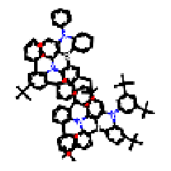 Cc1cc2c3c(c1)N(c1c(-c4ccccc4)cc(C(C)(C)C)cc1-c1ccccc1)c1ccc(CC(C)(C)c4cc5c6c(c4)N(c4c(-c7ccccc7)cccc4-c4ccccc4)c4cc(C(C)(C)C)ccc4B6c4ccc(C(C)(C)C)cc4N5c4cc(C(C)(C)C)cc(C(C)(C)C)c4)cc1B3c1ccccc1N2c1ccccc1